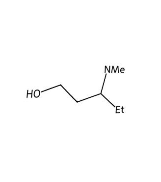 CCC(CCO)NC